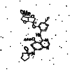 COc1cc(N=S2(=O)CCCC2)cc2ncnc(Nc3ccc(F)cc3O[C@@H]3COC4C(OC)COC43)c12